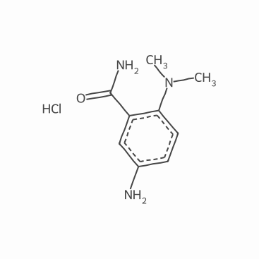 CN(C)c1ccc(N)cc1C(N)=O.Cl